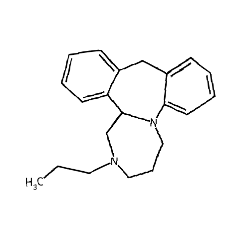 CCCN1CCCN2c3ccccc3Cc3ccccc3C2C1